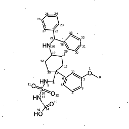 COc1cccc(C2(CNS(=O)(=O)NC(=O)O)CCC(NC(c3ccccc3)c3ccccc3)CC2)c1